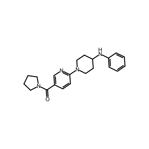 O=C(c1ccc(N2CCC(Nc3ccccc3)CC2)nc1)N1CCCC1